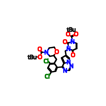 CC(C)(C)OC(=O)N1CCOC(Cc2c(Cl)cc(Cl)cc2-c2ncnn3cc(Cn4c(=O)ccn(C(=O)OC(C)(C)C)c4=O)cc23)C1